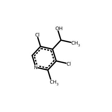 Cc1ncc(Cl)c(C(C)O)c1Cl